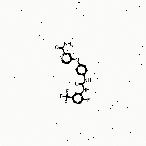 NC(=O)c1cc(Oc2ccc(NC(=O)Nc3cc(C(F)(F)F)ccc3F)cc2)ccn1